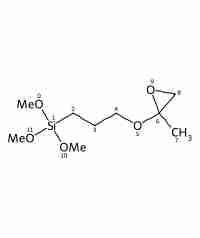 CO[Si](CCCOC1(C)CO1)(OC)OC